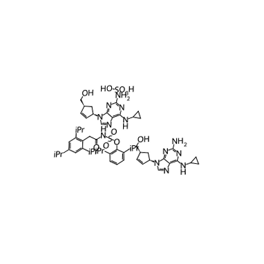 CC(C)c1cc(C(C)C)c(CC(=O)NS(=O)(=O)Oc2c(C(C)C)cccc2C(C)C)c(C(C)C)c1.Nc1nc(NC2CC2)c2ncn([C@H]3C=C[C@@H](CO)C3)c2n1.Nc1nc(NC2CC2)c2ncn([C@H]3C=C[C@@H](CO)C3)c2n1.O=S(=O)(O)O